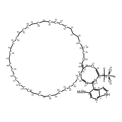 CNc1cnc2[nH]ccc2c1C1=NC(C(C)(C)S(C)(=O)=O)=COC[C@@H]2COC[C@@H](C)CCCCCCCCCCCCCCCCCCCCCCCCCCCCCCCCCCCCN2C=N1